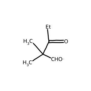 CCC(=O)C(C)(C)[C]=O